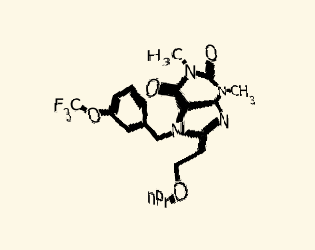 CCCOCCc1nc2c(c(=O)n(C)c(=O)n2C)n1Cc1cccc(OC(F)(F)F)c1